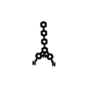 N#Cc1ccc2c3cc(-c4ccc(-c5ccc(-c6ccccc6)cc5)cc4)cc4c5ccc(C#N)cc5n(c2c1)c34